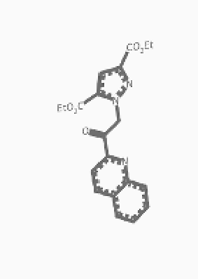 CCOC(=O)c1cc(C(=O)OCC)n(CC(=O)c2ccc3ccccc3n2)n1